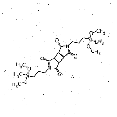 CO[Si](C)(CCCN1C(=O)C2C(C1=O)C1C(=O)N(CCC[Si](C)(OC)OC)C(=O)C21)OC